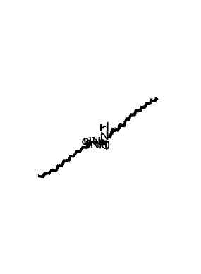 CCCCCCCCCCCCCCCCCCNC(=O)NNC(=O)CCCCCCCCCCCCCCCC